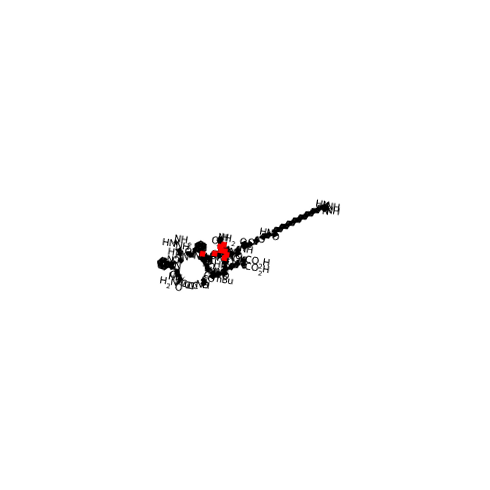 CCCC[C@H](NC(=O)[C@H](CCCCN(CC(=O)O)CC(=O)O)NC(=O)[C@H](Cc1c[nH]cn1)NC(=O)[C@H](CCC(N)=O)NC(=O)[C@H](CO)NC(=O)CNC(=O)COCCOCCNC(=O)CCCCCCCCCCCCCCCC1=NNNN1)C(=O)N[C@H]1CCC(=O)NCCCC[C@@H](C(N)=O)NC(=O)[C@H](Cc2c[nH]c3ccccc23)NC(=O)[C@H](CCCNC(=N)N)NC(=O)[C@@H](Cc2ccccc2)NC(=O)[C@@H]2C[C@@H](O)CN2C1=O